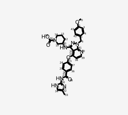 COc1ccc(Cn2nc(N[C@@H]3CCCN(C(=O)O)C3)c3c(Oc4ccc(C(=O)Nc5nc(C)c[nH]5)cc4)ccnc32)cc1